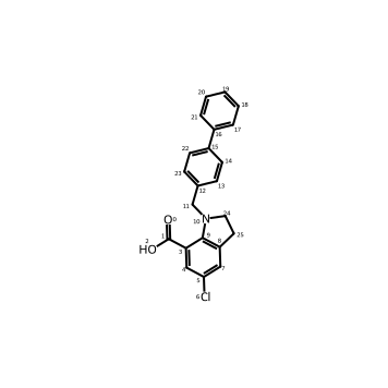 O=C(O)c1cc(Cl)cc2c1N(Cc1ccc(-c3ccccc3)cc1)CC2